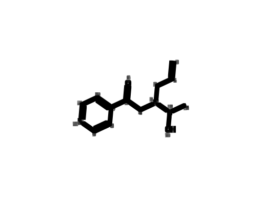 C=CCN(CC(=O)c1ccncc1)B(C)O